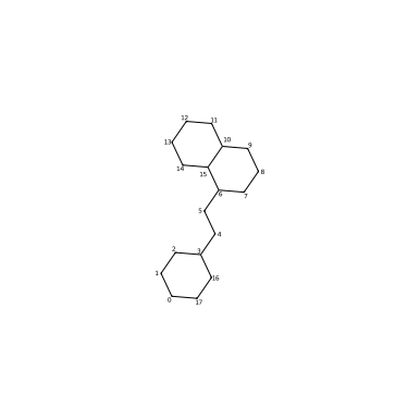 C1CCC(CCC2CCCC3CCCCC32)CC1